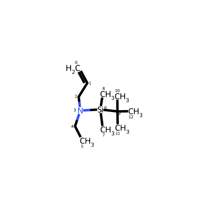 C=CCN(CC)[Si](C)(C)C(C)(C)C